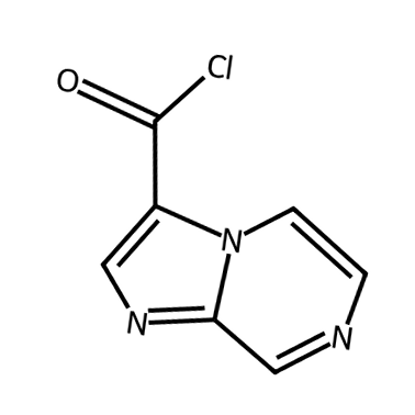 O=C(Cl)c1cnc2cnccn12